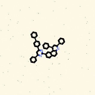 c1ccc(-c2ccc(-c3cc(-c4ccccc4)nc(-c4ccc5ccc6nc(-c7ccccc7)cc(-c7ccccc7)c6c5c4)n3)cc2)cc1